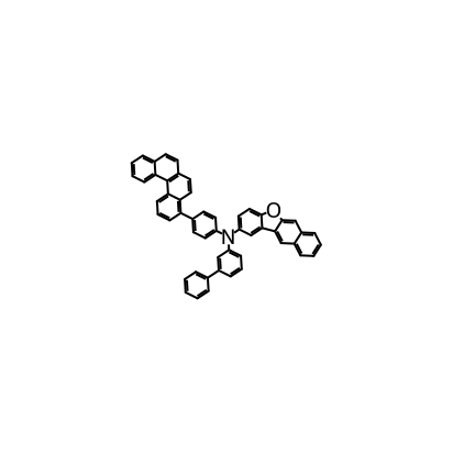 c1ccc(-c2cccc(N(c3ccc(-c4cccc5c4ccc4ccc6ccccc6c45)cc3)c3ccc4oc5cc6ccccc6cc5c4c3)c2)cc1